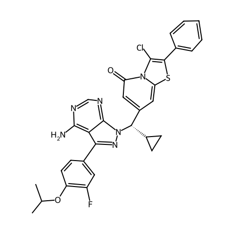 CC(C)Oc1ccc(-c2nn([C@H](c3cc(=O)n4c(Cl)c(-c5ccccc5)sc4c3)C3CC3)c3ncnc(N)c23)cc1F